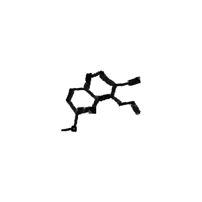 C=CCc1c(C#N)cnc2ccc(OC)nc12